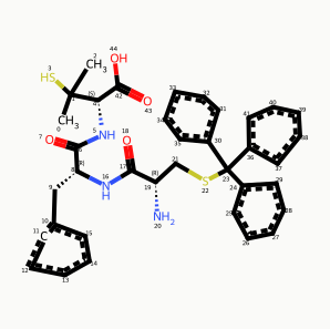 CC(C)(S)[C@@H](NC(=O)[C@@H](Cc1ccccc1)NC(=O)[C@@H](N)CSC(c1ccccc1)(c1ccccc1)c1ccccc1)C(=O)O